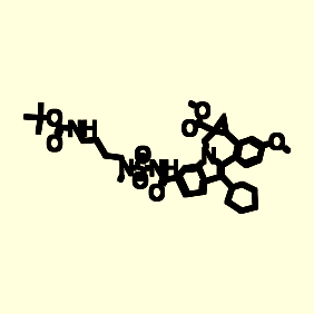 COC(=O)C12CC1c1cc(OC)ccc1-c1c(C3CCCCC3)c3ccc(C(=O)NS(=O)(=O)N(C)CCCCNC(=O)OC(C)(C)C)cc3n1C2